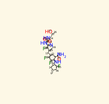 Cc1ccc(Nc2c(C(N)=O)cc(Cc3ccnc(NS(=O)(=O)NCC(C)O)c3F)c(F)c2F)c(F)c1